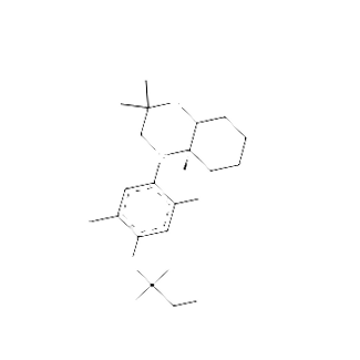 CC1(C)CN(c2cc(Cl)c(OC(F)(F)CO)cc2F)[C@H]2CCCC[C@@H]2N1